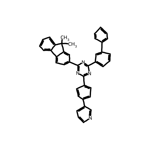 CC1(C)c2ccccc2-c2ccc(-c3nc(-c4ccc(-c5cccnc5)cc4)nc(-c4cccc(-c5ccccc5)c4)n3)cc21